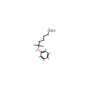 CCCCCCCCCC[CH]CC(C)(C)Oc1ccccc1